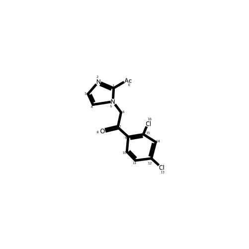 CC(=O)c1nccn1CC(=O)c1ccc(Cl)cc1Cl